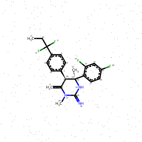 C=C1[C@@H](c2ccc(C(F)(F)CC)cc2)[C@@](C)(c2ccc(F)cc2F)NC(=N)N1C